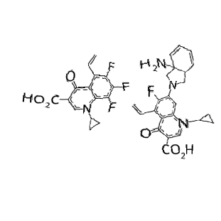 C=Cc1c(F)c(F)c(F)c2c1c(=O)c(C(=O)O)cn2C1CC1.C=Cc1c(F)c(N2CC3C=CC=CC3(N)C2)cc2c1c(=O)c(C(=O)O)cn2C1CC1